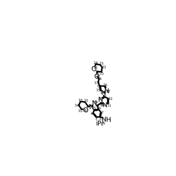 CC(C)Nc1ccc2c(c1)c(-c1nccc(-n3cc(CCOC4CCCCO4)cn3)n1)nn2C1CCCCO1